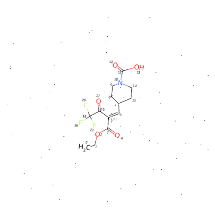 CCOC(=O)/C(=C/C1CCN(C(=O)O)CC1)C(=O)C(F)(F)F